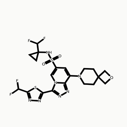 O=S(=O)(NC1(C(F)F)CC1)c1cc(N2CCC3(CC2)COC3)c2nnc(-c3nnc(C(F)F)s3)n2c1